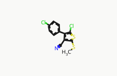 CSc1sc(Cl)c(-c2ccc(Cl)cc2)c1C#N